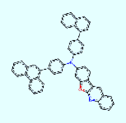 c1ccc2nc3oc4cc(N(c5ccc(-c6cccc7ccccc67)cc5)c5ccc(-c6cc7ccccc7c7ccccc67)cc5)ccc4c3cc2c1